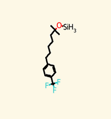 CC(C)(CCCCCc1ccc(C(F)(F)F)cc1)O[SiH3]